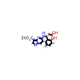 CCOC(=O)c1cnn2ccc(N[C@H](CCO)c3cc(F)ccc3O)nc12